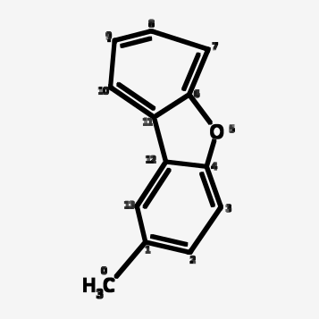 Cc1ccc2oc3cc[c]cc3c2c1